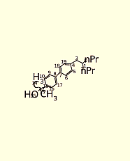 CCCC(CCC)Cc1ccc(-c2ccc(C(C)(C)O)cc2)cc1